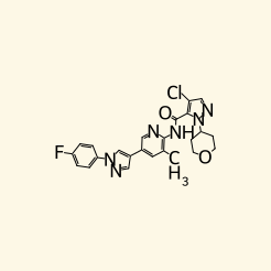 Cc1cc(-c2cnn(-c3ccc(F)cc3)c2)cnc1NC(=O)c1c(Cl)cnn1C1CCOCC1